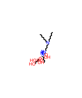 CCCCCCCN(CCCCCCC)CCCCCn1nnn([C@@H](COC[C@H](O)[C@@H](O)CO)[C@H](O)[C@H](O)CC)c1=O